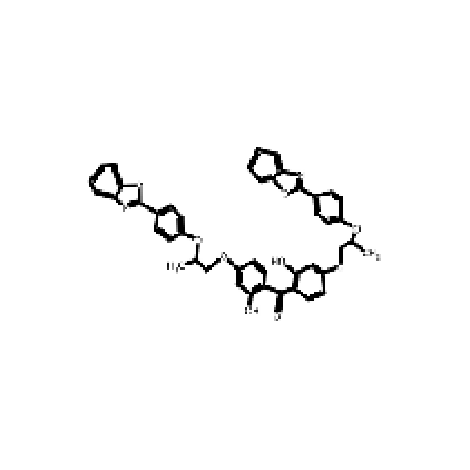 CC(COc1ccc(C(=O)c2ccc(OCC(C)Oc3ccc(-c4nc5ccccc5o4)cc3)cc2O)c(O)c1)Oc1ccc(-c2nc3ccccc3o2)cc1